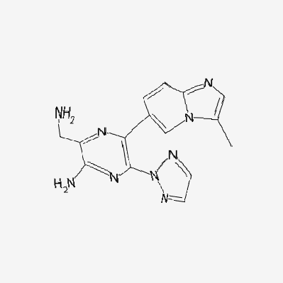 Cc1cnc2ccc(-c3nc(CN)c(N)nc3-n3nccn3)cn12